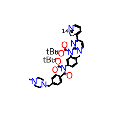 Cc1ccc(N(C(=O)OC(C)(C)C)C(=O)c2ccc(CN3CCN(C)CC3)cc2)cc1N(C(=O)OC(C)(C)C)c1nccc(-c2cccn[14cH]2)n1